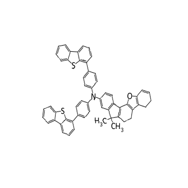 CC1(C)C2=C(c3ccc(N(c4ccc(-c5cccc6c5sc5ccccc56)cc4)c4ccc(-c5cccc6c5sc5ccccc56)cc4)cc31)c1oc3c(c1CC2)CCC=C3